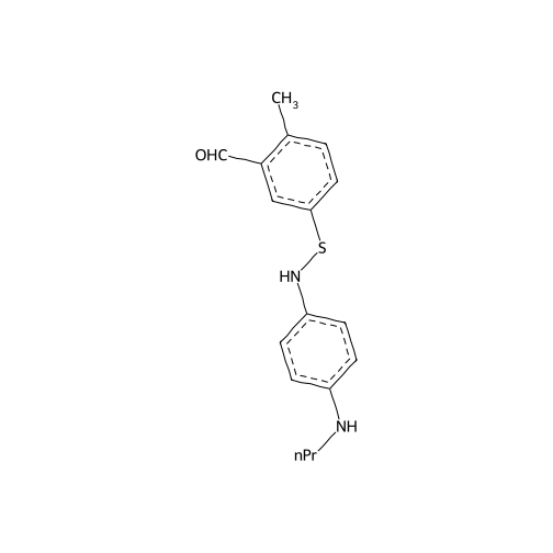 CCCNc1ccc(NSc2ccc(C)c(C=O)c2)cc1